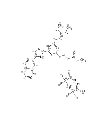 CCC(=O)CCCCC[C@H](NC(=O)CCN(CC)CC)c1ncc(-c2ccc3ccccc3c2)[nH]1.O=C(O)C(F)(F)F.O=C(O)C(F)(F)F